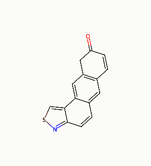 O=C1C=Cc2cc3ccc4nscc4c3cc2C1